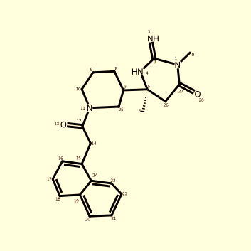 CN1C(=N)N[C@](C)(C2CCCN(C(=O)Cc3cccc4ccccc34)C2)CC1=O